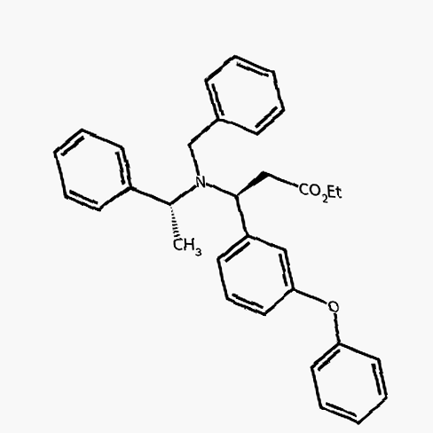 CCOC(=O)C[C@@H](c1cccc(Oc2ccccc2)c1)N(Cc1ccccc1)[C@H](C)c1ccccc1